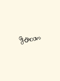 O=C(c1ccc(N2CCC3(CC2)CCN(C2CCC2)CC3)nc1)N1CC=CCC1